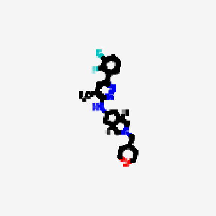 Fc1cccc(-c2cc(C(F)(F)F)c(N[C@H]3C[C@@H]4CN(CC5CCOCC5)C[C@@H]4C3)nn2)c1F